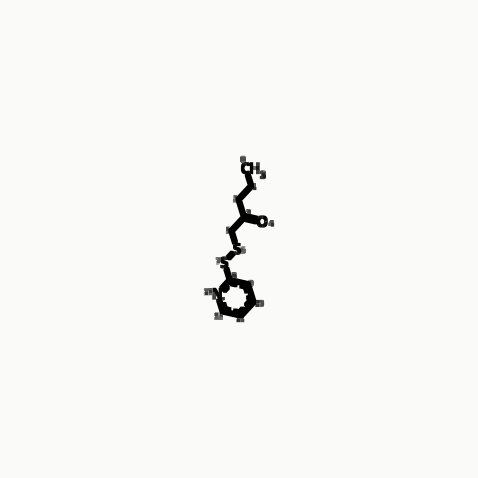 CCCC(=O)CSSc1ccccn1